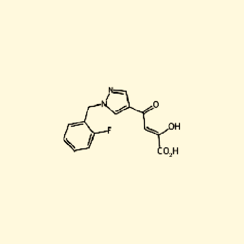 O=C(O)C(O)=CC(=O)c1cnn(Cc2ccccc2F)c1